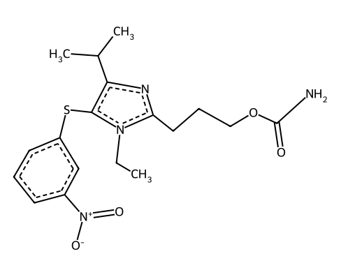 CCn1c(CCCOC(N)=O)nc(C(C)C)c1Sc1cccc([N+](=O)[O-])c1